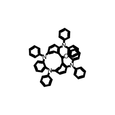 O=C1c2cc(ccc2N(c2ccccc2)c2ccccc2)N(c2ccccc2)c2ccccc2N(c2ccccc2)c2ccc(N(c3ccccc3)c3ccccc3)c1c2